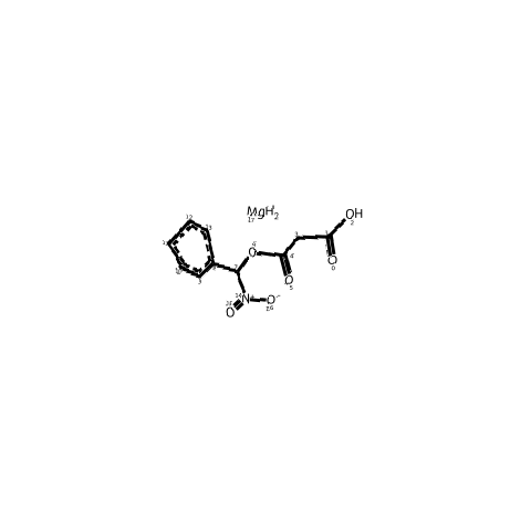 O=C(O)CC(=O)OC(c1ccccc1)[N+](=O)[O-].[MgH2]